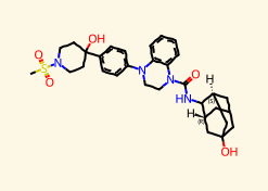 CS(=O)(=O)N1CCC(O)(c2ccc(N3CCN(C(=O)NC4[C@@H]5CC6C[C@H]4CC(O)(C6)C5)c4ccccc43)cc2)CC1